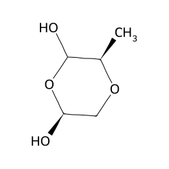 C[C@H]1OC[C@@H](O)OC1O